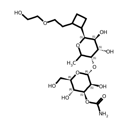 CC1O[C@@H](C2CCC2CCOCCO)[C@@H](O)[C@H](O)[C@@H]1O[C@H]1O[C@H](CO)[C@@H](O)[C@H](OC(N)=O)[C@@H]1O